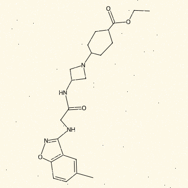 CCOC(=O)C1CCC(N2CC(NC(=O)CNc3noc4ccc(C)cc34)C2)CC1